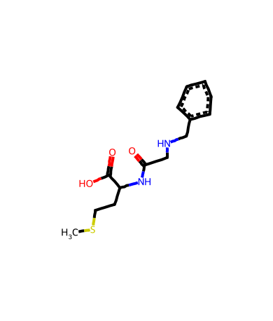 CSCCC(NC(=O)CNCc1ccccc1)C(=O)O